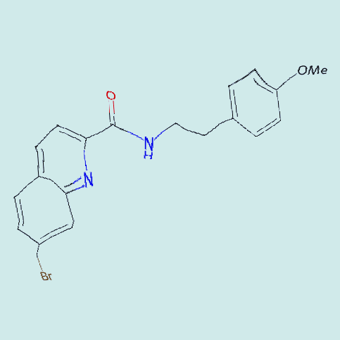 COc1ccc(CCNC(=O)c2ccc3ccc(Br)cc3n2)cc1